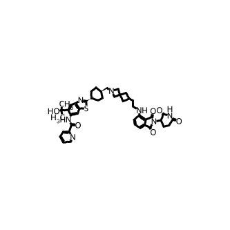 CC(C)(O)c1cc2nc([C@H]3CC[C@H](CN4CC5(CC(CCNc6cccc7c6C(=O)N(C6CCC(=O)NC6=O)C7=O)C5)C4)CC3)sc2cc1NC(=O)c1ccccn1